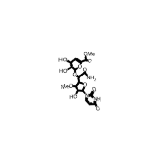 COC(=O)C1=CC(O)C(O)C(OC(C(N)=O)C2OC(n3ccc(=O)[nH]c3=O)C(O)C2OC)O1